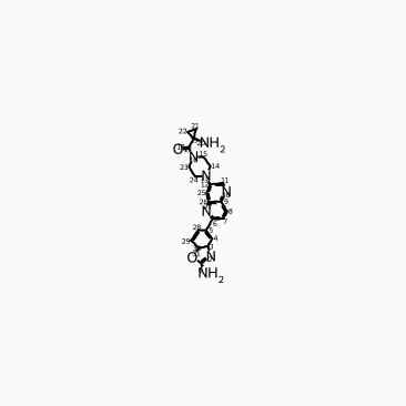 NC1=NC2C=C(c3ccc4ncc(N5CCN(C(=O)C6(N)CC6)CC5)cc4n3)C=CC2O1